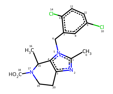 Cc1nc2c(n1Cc1cc(Cl)ccc1Cl)C(C)N(C(=O)O)CC2